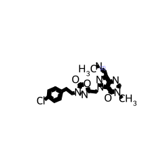 C/N=C\c1nn(Cc2nn(CCc3ccc(Cl)cc3)c(=O)o2)c2c(=O)n(C)cnc12